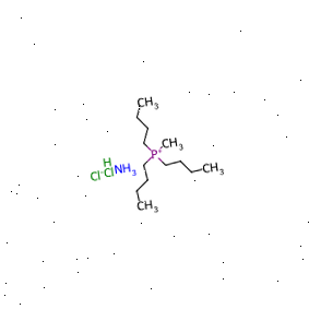 CCCC[P+](C)(CCCC)CCCC.Cl.N.[Cl-]